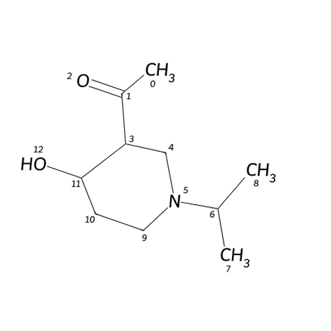 CC(=O)C1CN(C(C)C)CCC1O